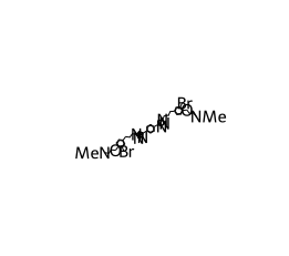 CNCCOc1ccc(CCCn2cc(-c3ccc(-c4cn(CCCc5ccc(OCCNC)c(Br)c5)nn4)cc3)nn2)cc1Br